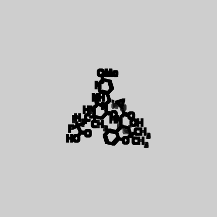 COc1ccc(C([C@@H]2C[C@H]2C(=O)N[C@@H]2c3ccccc3OC(C)(C)[C@H]2O)N2C(=N)NC(C)(C)CC2=O)cn1.O=C(O)C(F)(F)F